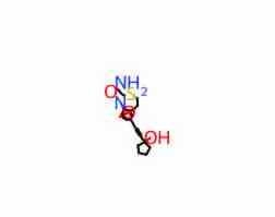 NC(=O)C1=NC23C=CC(C#CC4(O)CCCC4)=CC2=COC3CCS1